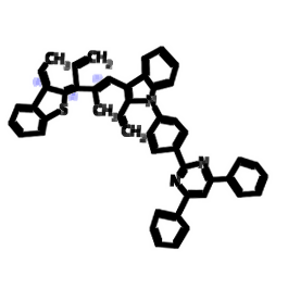 C=CC(/C(C)=C/c1c(C=C)n(-c2ccc(-c3nc(-c4ccccc4)cc(-c4ccccc4)n3)cc2)c2ccccc12)=c1/sc2ccccc2/c1=C/C